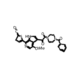 COc1cnc(C2=CCC(=C=O)S2)c2[nH]cc(C(=O)C(=O)N3CCN(C(=O)c4ccccc4)CC3)c12